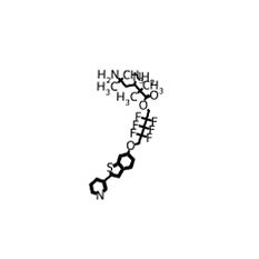 CC(C)(N)CC(N)C(C)(C)C(=O)OCC(F)(F)C(F)(F)C(F)(F)COc1ccc2cc(-c3cccnc3)sc2c1